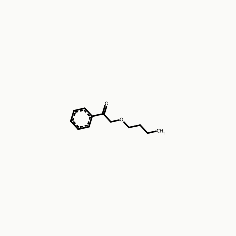 CCCCOCC(=O)c1ccccc1